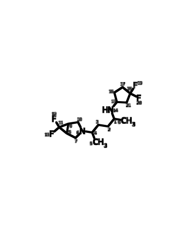 CC(CCC(C)N1CC2C(C1)C2(F)F)NC1CCC(F)(F)C1